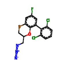 [N-]=[N+]=NCC1CSc2cc(F)cc(-c3c(Cl)cccc3Cl)c2O1